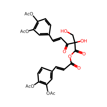 CC(=O)Oc1ccc(C=CC(=O)OC(=O)C(O)(CO)C(=O)C=Cc2ccc(OC(C)=O)c(OC(C)=O)c2)cc1OC(C)=O